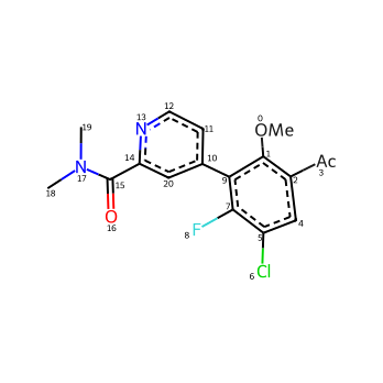 COc1c(C(C)=O)cc(Cl)c(F)c1-c1ccnc(C(=O)N(C)C)c1